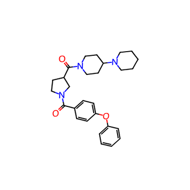 O=C(c1ccc(Oc2ccccc2)cc1)N1CCC(C(=O)N2CCC(N3CCCCC3)CC2)C1